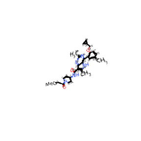 COCC(=O)N1CCC(NC(=O)c2c(C)[nH]c3c(-c4cc(C)ccc4OCC4CC4)nc(C)nc23)CC1